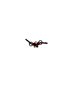 CCCCCCCCOc1ccc(-c2nnc(-c3ccc(OCCCCCCCC)cc3)s2)cc1